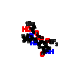 CC(C)(C)C[C@@H](O)C(=O)N1CC2(CC2)C[C@H]1C(=O)N[C@@H](C[C@@H]1CCNC1=O)C(=O)COC(F)(F)F